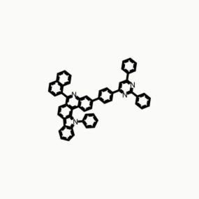 c1ccc(-c2cc(-c3ccc(-c4ccc5c(c4)nc(-c4cccc6ccccc46)c4ccc6c7ccccc7n(-c7ccccc7)c6c45)cc3)nc(-c3ccccc3)n2)cc1